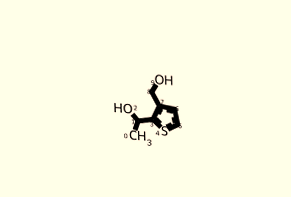 CC(O)c1sccc1CO